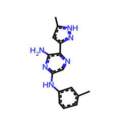 Cc1cccc(Nc2cnc(-c3cc(C)[nH]n3)c(N)n2)c1